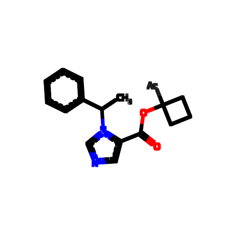 CC(=O)C1(OC(=O)c2cncn2C(C)c2ccccc2)CCC1